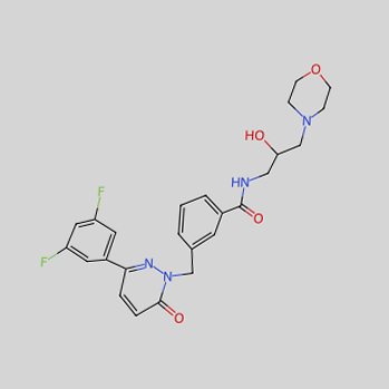 O=C(NCC(O)CN1CCOCC1)c1cccc(Cn2nc(-c3cc(F)cc(F)c3)ccc2=O)c1